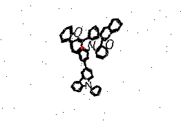 c1ccc(-n2c3ccccc3c3cc(-c4cccc(N(c5ccccc5-c5cccc6c5oc5ccccc56)c5cccc6oc7c8ccccc8ccc7c56)c4)ccc32)cc1